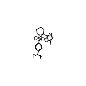 Cc1cnc([C@@H]2CCCCN2S(=O)(=O)c2ccc(C(F)F)cc2)o1